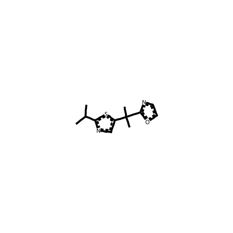 CC(C)c1ncc(C(C)(C)c2ncco2)s1